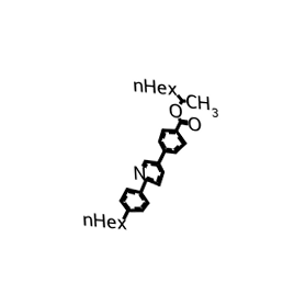 CCCCCCc1ccc(-c2ccc(-c3ccc(C(=O)OC(C)CCCCCC)cc3)cn2)cc1